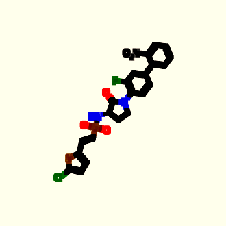 O=C1[C@@H](NS(=O)(=O)/C=C/c2ccc(Cl)s2)CCN1c1ccc(-c2ccccc2[N+](=O)[O-])cc1F